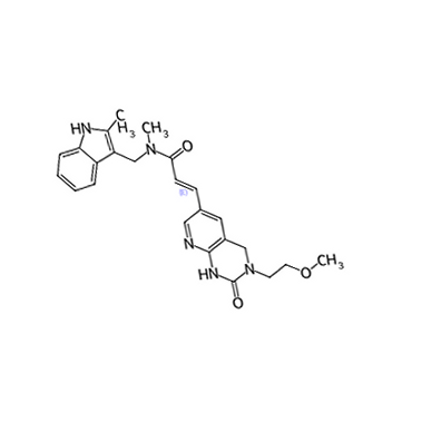 COCCN1Cc2cc(/C=C/C(=O)N(C)Cc3c(C)[nH]c4ccccc34)cnc2NC1=O